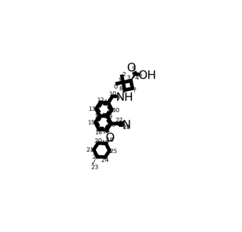 CC1(C)[C@@H](C(=O)O)C[C@H]1NCc1ccc2ccc(O[C@H]3CC[C@@H](C)CC3)c(C#N)c2c1